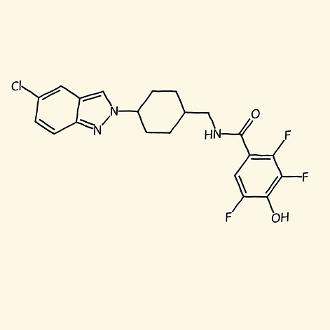 O=C(NCC1CCC(n2cc3cc(Cl)ccc3n2)CC1)c1cc(F)c(O)c(F)c1F